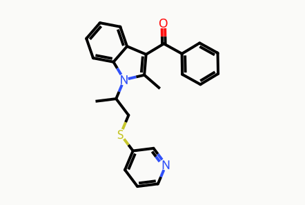 Cc1c(C(=O)c2ccccc2)c2ccccc2n1C(C)CSc1cccnc1